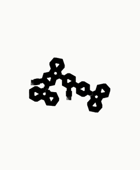 N#Cc1cc(-n2c3ccccc3c3cc(C#N)c(-n4c5ccccc5c5ccccc54)cc32)ccc1-c1ccc(-n2c3ccccc3c3ccccc32)cc1